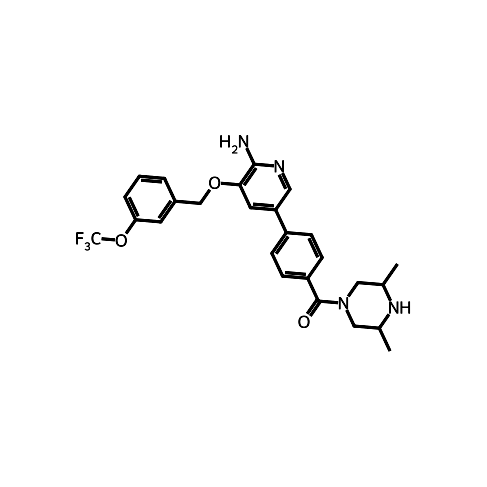 CC1CN(C(=O)c2ccc(-c3cnc(N)c(OCc4cccc(OC(F)(F)F)c4)c3)cc2)CC(C)N1